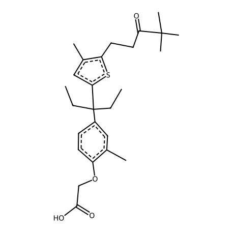 CCC(CC)(c1ccc(OCC(=O)O)c(C)c1)c1cc(C)c(CCC(=O)C(C)(C)C)s1